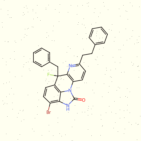 O=c1[nH]c2c(Br)ccc3c2n1-c1ccc(CCc2ccccc2)nc1C3(F)Cc1ccccc1